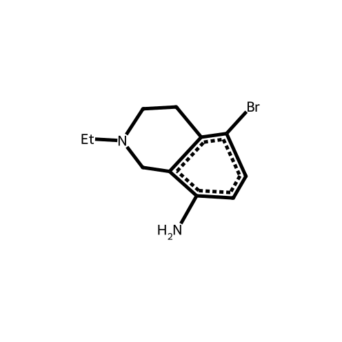 CCN1CCc2c(Br)ccc(N)c2C1